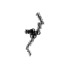 CCCCCC/C=C\CCCCCCCCCC(=O)O[C@H](COC(=O)CCC/C=C\C/C=C\C/C=C\CCCCCCCC)COP(=O)([O-])OCC[N+](C)(C)C